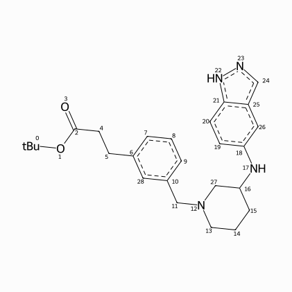 CC(C)(C)OC(=O)CCc1cccc(CN2CCCC(Nc3ccc4[nH]ncc4c3)C2)c1